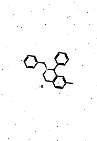 Cc1ccc2c(c1)C(c1ccccc1)N(Cc1ccccc1)CC2.I